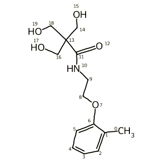 Cc1ccccc1OCCNC(=O)C(CO)(CO)CO